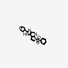 O=S(=O)(c1ccccc1)n1ccc2c3[nH]c(C4CCOCC4)nc3cnc21